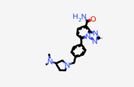 CN(C)C1CCN(Cc2ccc(-c3ccc(C(N)=O)c4n[c]nn34)cc2)C1